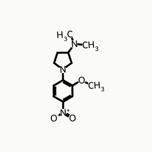 COc1cc([N+](=O)[O-])ccc1N1CCC(N(C)C)C1